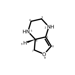 C1=C2NCCN[C@H]2CO1